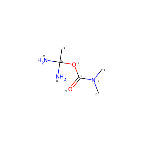 CN(C)C(=O)OC(C)(N)N